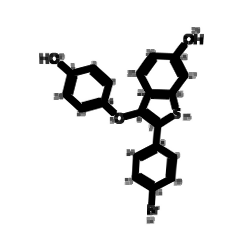 Oc1ccc(Oc2c(-c3ccc(Br)cc3)sc3cc(O)ccc23)cc1